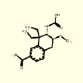 CCC1(CC)c2cc(C(N)=O)ccc2C[C@H](OC)[C@H]1NC(=O)O